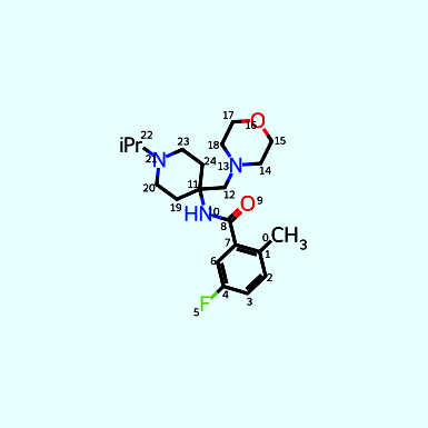 Cc1ccc(F)cc1C(=O)NC1(CN2CCOCC2)CCN(C(C)C)CC1